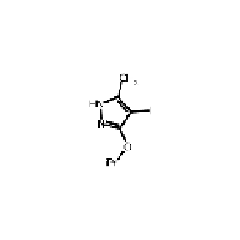 Cc1[nH]nc(OC(C)C)c1I